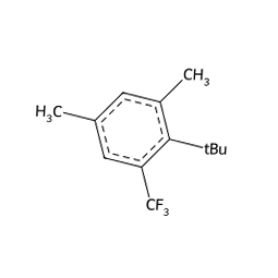 Cc1cc(C)c(C(C)(C)C)c(C(F)(F)F)c1